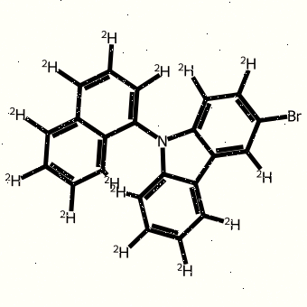 [2H]c1c([2H])c([2H])c2c(-n3c4c([2H])c([2H])c([2H])c([2H])c4c4c([2H])c(Br)c([2H])c([2H])c43)c([2H])c([2H])c([2H])c2c1[2H]